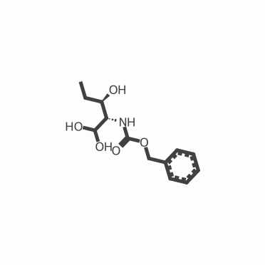 CC[C@@H](O)[C@H](NC(=O)OCc1ccccc1)C(O)O